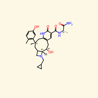 Cc1ccc(O)cc1[C@]1(C)Cc2[nH]c(=O)c(C(=O)N[C@@H](C)C(N)=O)cc2C[C@@H](O)[C@H]2C(CN2CC2CC2)C1